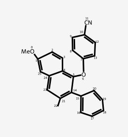 COc1ccc2c(Oc3ccc(C#N)cc3)c(-c3ccccc3)c(C)cc2c1